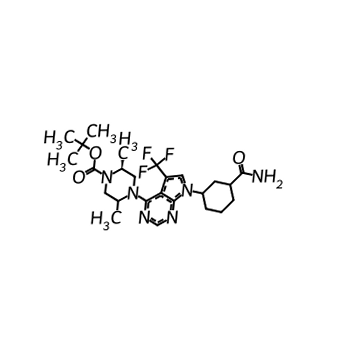 CC1CN(C(=O)OC(C)(C)C)[C@@H](C)CN1c1ncnc2c1c(C(F)(F)F)cn2C1CCCC(C(N)=O)C1